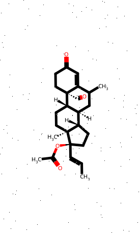 CC=C[C@@]1(OC(C)=O)CC[C@H]2[C@@H]3CC(C)C4=CC(=O)CC[C@]4(C=O)[C@H]3CC[C@@]21C